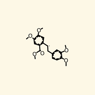 COC(=O)c1cc(OC)c(OC)cc1[CH]Cc1ccc(OC)c(OC)c1